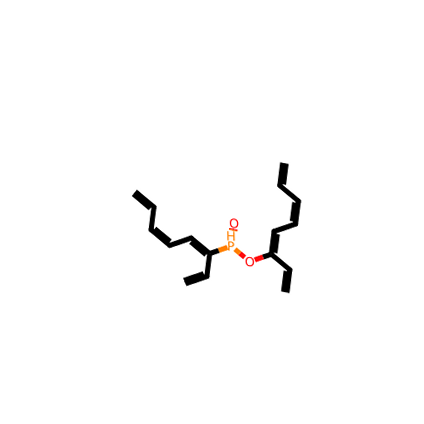 C=C/C=C\C=C(/C=C)O[PH](=O)/C(C=C)=C/C=C\C=C